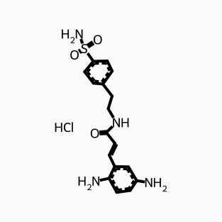 Cl.Nc1ccc(N)c(C=CC(=O)NCCc2ccc(S(N)(=O)=O)cc2)c1